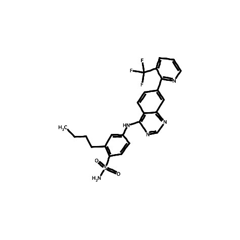 CCCCc1cc(Nc2ncnc3cc(-c4ncccc4C(F)(F)F)ccc23)ccc1S(N)(=O)=O